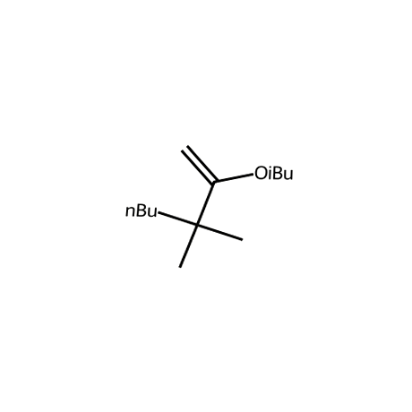 C=C(OCC(C)C)C(C)(C)CCCC